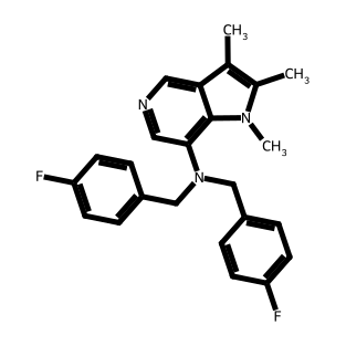 Cc1c(C)n(C)c2c(N(Cc3ccc(F)cc3)Cc3ccc(F)cc3)cncc12